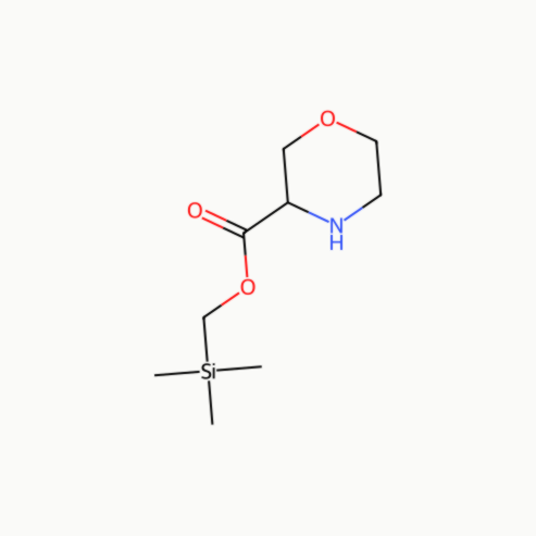 C[Si](C)(C)COC(=O)C1COCCN1